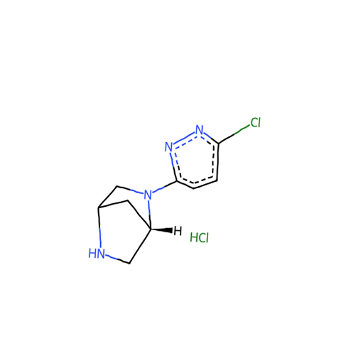 Cl.Clc1ccc(N2CC3C[C@H]2CN3)nn1